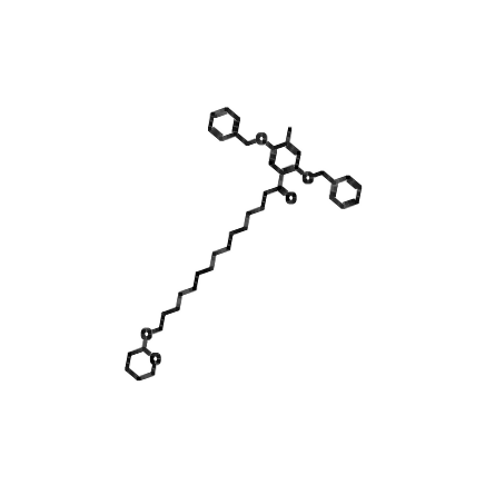 Cc1cc(OCc2ccccc2)c(C(=O)CCCCCCCCCCCCCCOC2CCCCO2)cc1OCc1ccccc1